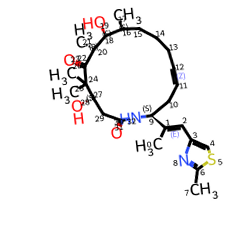 C/C(=C\c1csc(C)n1)[C@@H]1C/C=C\CCC[C@H](C)[C@H](O)[C@@H](C)C(=O)C(C)(C)[C@@H](O)CC(=O)N1